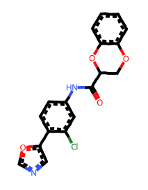 O=C(Nc1ccc(-c2cnco2)c(Cl)c1)C1COc2ccccc2O1